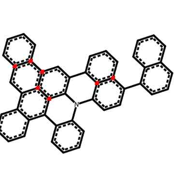 c1ccc(-c2ccc(N(c3ccc(-c4cccc5ccccc45)cc3)c3ccccc3-c3cc4ccccc4c4ccccc34)c(-c3ccccc3)c2)cc1